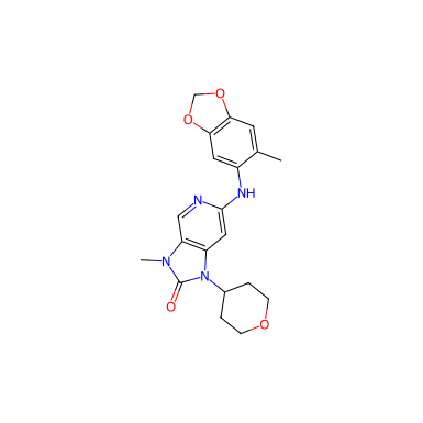 Cc1cc2c(cc1Nc1cc3c(cn1)n(C)c(=O)n3C1CCOCC1)OCO2